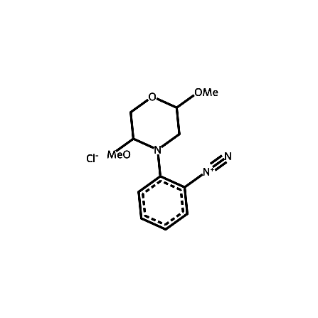 COC1CN(c2ccccc2[N+]#N)C(OC)CO1.[Cl-]